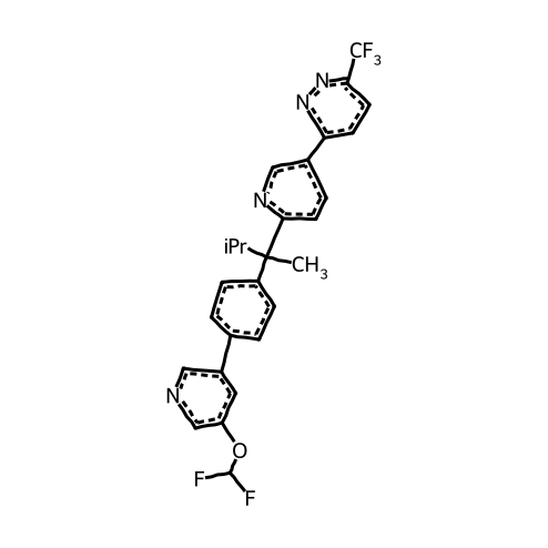 CC(C)C(C)(c1ccc(-c2cncc(OC(F)F)c2)cc1)c1ccc(-c2ccc(C(F)(F)F)nn2)cn1